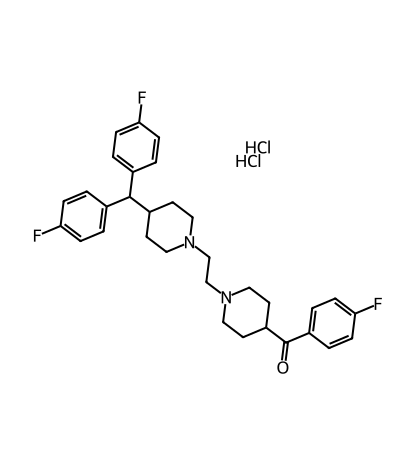 Cl.Cl.O=C(c1ccc(F)cc1)C1CCN(CCN2CCC(C(c3ccc(F)cc3)c3ccc(F)cc3)CC2)CC1